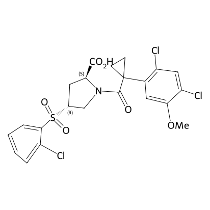 COc1cc(C2(C(=O)N3C[C@H](S(=O)(=O)c4ccccc4Cl)C[C@H]3C(=O)O)CC2)c(Cl)cc1Cl